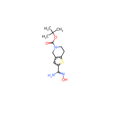 CC(C)(C)OC(=O)N1CCc2sc(C(N)=NO)cc2C1